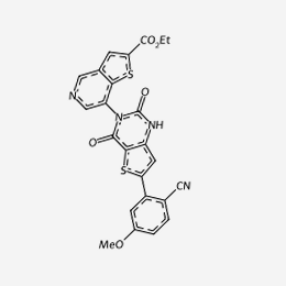 CCOC(=O)c1cc2cncc(-n3c(=O)[nH]c4cc(-c5cc(OC)ccc5C#N)sc4c3=O)c2s1